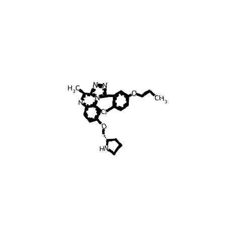 CCCOc1ccc(Cl)c(-c2nnc3c(C)nc4ccc(OC[C@@H]5CCCN5)cc4n23)c1